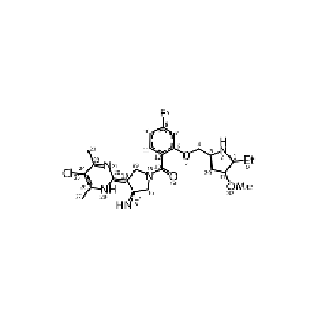 CCC1NC(COc2cc(F)ccc2C(=O)N2CC(=N)/C(=C3/N=C(C)C(Cl)=C(C)N3)C2)CC1OC